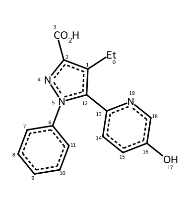 CCc1c(C(=O)O)nn(-c2ccccc2)c1-c1ccc(O)cn1